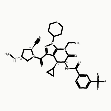 CCN1C(=O)[C@@H](NC(=O)c2cccc(C(F)(F)F)c2)[C@@H](C2CC2)c2c(C(=O)N3C[C@H](NC)C[C@H]3C#N)nn(C3CCOCC3)c21